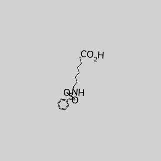 O=C(O)CCCCCCCNS(=O)(=O)c1ccccc1